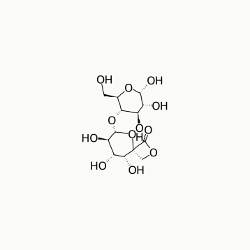 O=C1OC[C@]12O[C@@H](O[C@H]1[C@H](O)[C@@H](O)[C@@H](O)O[C@@H]1CO)[C@H](O)[C@@H](O)[C@H]2O